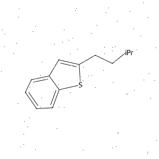 CC(C)CCc1cc2ccccc2s1